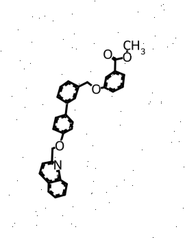 COC(=O)c1cccc(OCc2cccc(-c3ccc(OCc4ccc5ccccc5n4)cc3)c2)c1